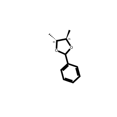 C[C@H]1OC(c2ccccc2)O[C@@H]1C